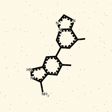 Cc1cc2c(N)n[nH]c2cc1-c1cc(C)c2ncnn2c1